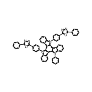 c1ccc(-c2nnc(-c3ccc(-n4c5ccccc5c5c6c(c7ccccc7n6-c6ccccc6)c6c(c7ccccc7n6-c6ccc(-c7nnc(-c8ccccc8)o7)cc6)c54)cc3)o2)cc1